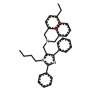 CCCCn1c(-c2ccccc2)nc(-c2ccccc2)c1CN(Cc1ccccc1)Cc1ccc(CC)cc1